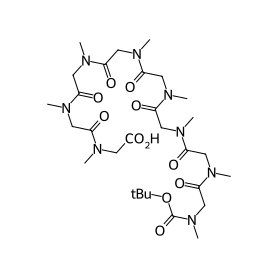 CN(CC(=O)O)C(=O)CN(C)C(=O)CN(C)C(=O)CN(C)C(=O)CN(C)C(=O)CN(C)C(=O)CN(C)C(=O)CN(C)C(=O)OC(C)(C)C